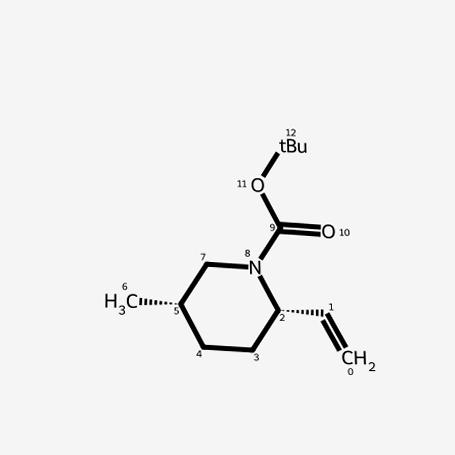 C=C[C@@H]1CC[C@H](C)CN1C(=O)OC(C)(C)C